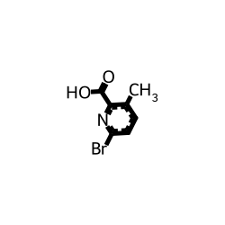 Cc1ccc(Br)nc1C(=O)O